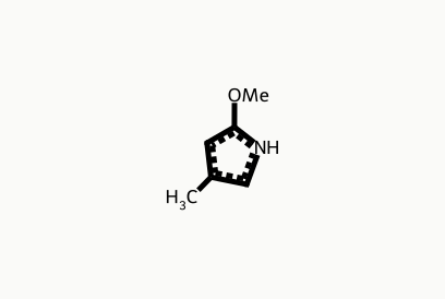 COc1cc(C)c[nH]1